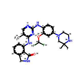 CC1(C)CN(c2ccc(Nc3ncc(C(F)(F)F)c(Nc4cccc5c4C(=O)NC5)n3)c(OC(F)F)c2)CCN1